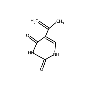 C=C(C)c1c[nH]c(=O)[nH]c1=O